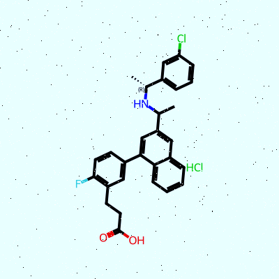 CC(N[C@H](C)c1cccc(Cl)c1)c1cc(-c2ccc(F)c(CCC(=O)O)c2)c2ccccc2c1.Cl